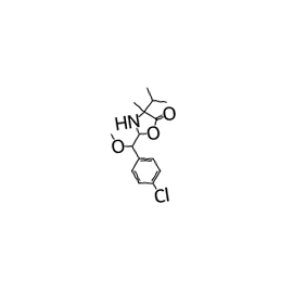 COC(c1ccc(Cl)cc1)C1NC(C)(C(C)C)C(=O)O1